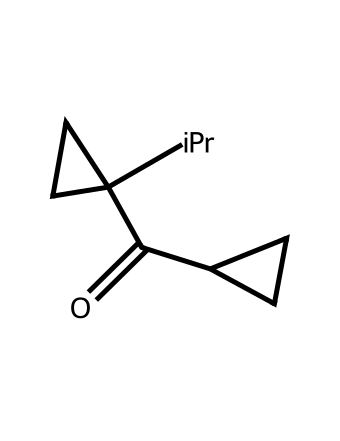 CC(C)C1(C(=O)C2CC2)CC1